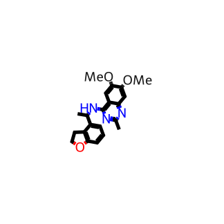 COc1cc2nc(C)nc(NC(C)c3cccc4c3CCO4)c2cc1OC